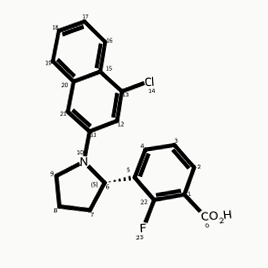 O=C(O)c1cccc([C@@H]2CCCN2c2cc(Cl)c3ccccc3c2)c1F